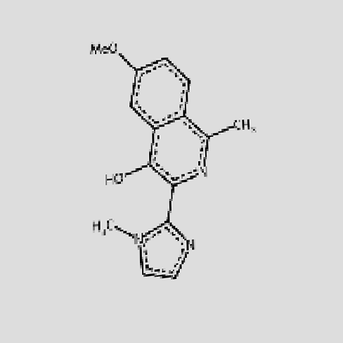 COc1ccc2c(C)nc(-c3nccn3C)c(O)c2c1